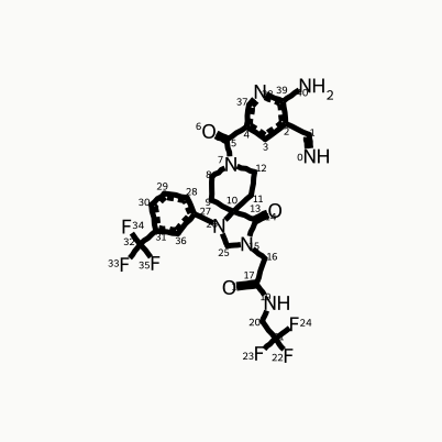 N=Cc1cc(C(=O)N2CCC3(CC2)C(=O)N(CC(=O)NCC(F)(F)F)CN3c2cccc(C(F)(F)F)c2)cnc1N